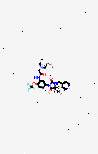 CCN(CC)CC(=O)Nc1cc(N2C(=O)N(Cc3ccncc3)C(C)(C)C2=O)ccc1OC(F)(F)F